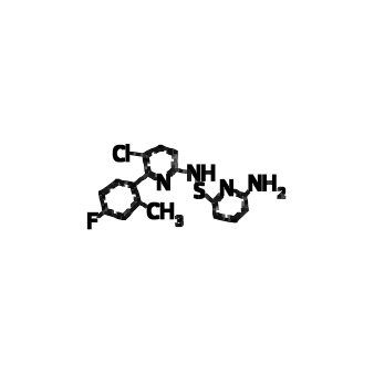 Cc1cc(F)ccc1-c1nc(NSc2cccc(N)n2)ccc1Cl